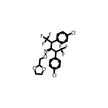 FC(F)(F)C(C(=NOCC1OCCO1)C(c1ccc(Cl)cc1)C(F)(F)F)c1ccc(Cl)cc1